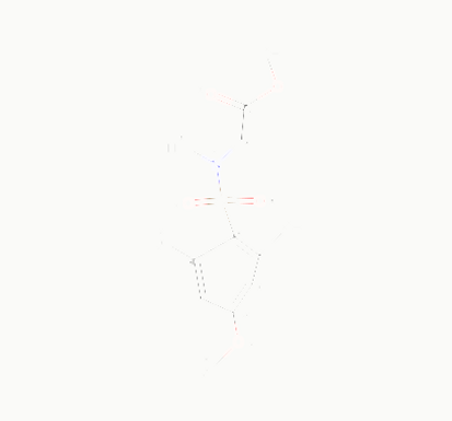 COC(=O)CN(C)S(=O)(=O)c1c(C)cc(OC)cc1C